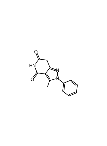 O=C1Cc2nn(-c3ccccc3)c(I)c2C(=O)N1